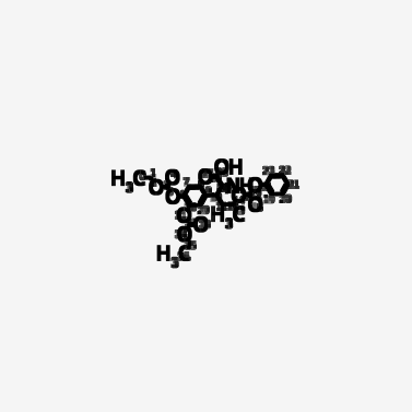 CCOC(=O)Oc1ccc(C(CC(C)OC(=O)Oc2ccccc2)[C@H](N)C(=O)O)cc1OC(=O)OCC